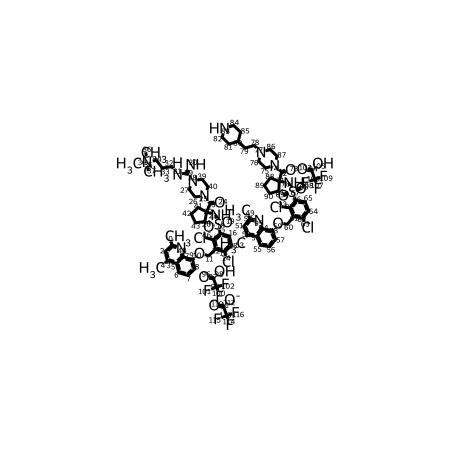 Cc1cc(C)c2cccc(OCc3c(Cl)ccc(S(=O)(=O)NC4(C(=O)N5CCN(C(=N)NCCC[N+](C)(C)C)CC5)CCCC4)c3Cl)c2n1.Cc1cc(C)c2cccc(OCc3c(Cl)ccc(S(=O)(=O)NC4(C(=O)N5CCN(CCC6CCNCC6)CC5)CCCC4)c3Cl)c2n1.O=C(O)C(F)(F)F.O=C(O)C(F)(F)F.O=C([O-])C(F)(F)F